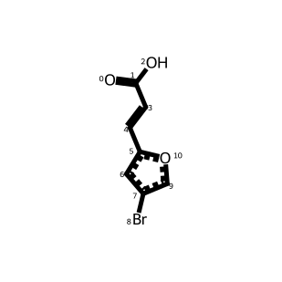 O=C(O)C=Cc1cc(Br)co1